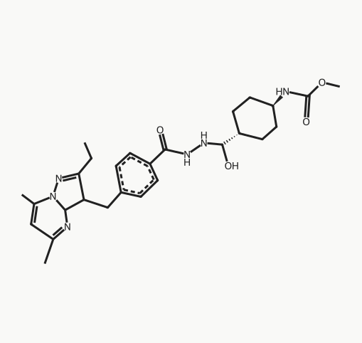 CCC1=NN2C(C)=CC(C)=NC2C1Cc1ccc(C(=O)NNC(O)[C@H]2CC[C@H](NC(=O)OC)CC2)cc1